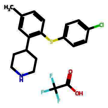 Cc1ccc(Sc2ccc(Cl)cc2)c(C2CCNCC2)c1.O=C(O)C(F)(F)F